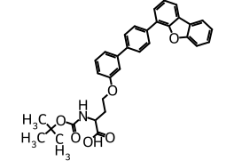 CC(C)(C)OC(=O)NC(CCOc1cccc(-c2ccc(-c3cccc4c3oc3ccccc34)cc2)c1)C(=O)O